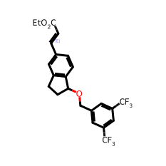 CCOC(=O)/C=C/c1ccc2c(c1)CCC2OCc1cc(C(F)(F)F)cc(C(F)(F)F)c1